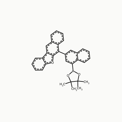 CC1(C)OB(c2cc(-c3c4ccccc4cc4c3oc3ccccc34)cc3ccccc23)OC1(C)C